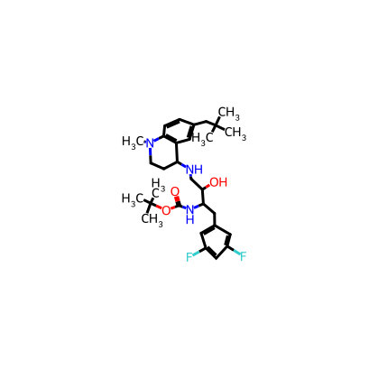 CN1CCC(NCC(O)C(Cc2cc(F)cc(F)c2)NC(=O)OC(C)(C)C)c2cc(CC(C)(C)C)ccc21